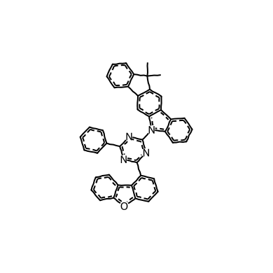 CC1(C)c2ccccc2-c2cc3c(cc21)c1ccccc1n3-c1nc(-c2ccccc2)nc(-c2cccc3oc4ccccc4c23)n1